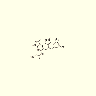 Cc1nn(C)c2nc(NC(C)CC(C)(C)C)c(CN(Cc3cc(C(F)(F)F)cc(C(F)(F)F)c3)c3nnn(C)n3)cc12